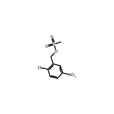 CS(=O)(=O)OCc1cc([N+](=O)[O-])ccc1Cl